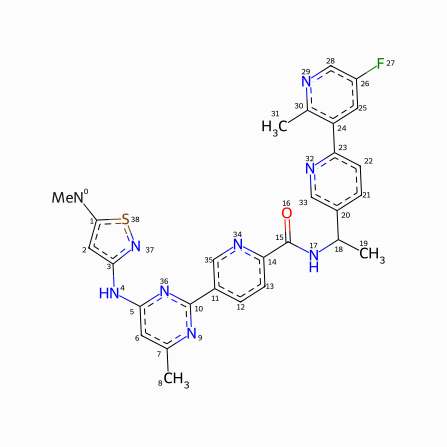 CNc1cc(Nc2cc(C)nc(-c3ccc(C(=O)NC(C)c4ccc(-c5cc(F)cnc5C)nc4)nc3)n2)ns1